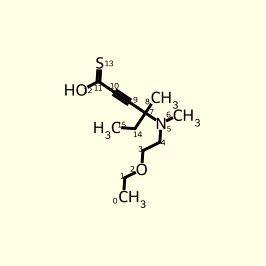 CCOCCN(C)C(C)(C#CC(O)=S)CC